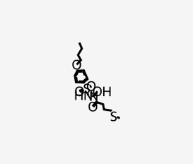 CCCCOc1ccc(S(=O)(=O)NN(O)C(=O)CCCSC)cc1